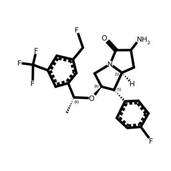 C[C@@H](O[C@H]1CN2C(=O)C(N)C[C@H]2[C@@H]1c1ccc(F)cc1)c1cc(CF)cc(C(F)(F)F)c1